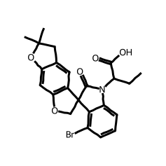 CCC(C(=O)O)N1C(=O)C2(COc3cc4c(cc32)CC(C)(C)O4)c2c(Br)cccc21